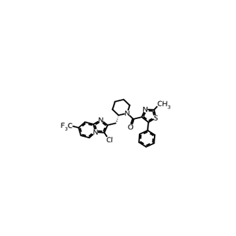 Cc1nc(C(=O)N2CCCC[C@H]2Cc2nc3cc(C(F)(F)F)ccn3c2Cl)c(-c2ccccc2)s1